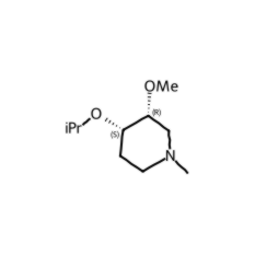 CO[C@@H]1CN(C)CC[C@@H]1OC(C)C